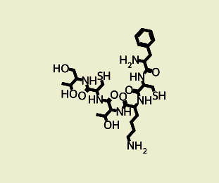 CC(O)C(CO)NC(=O)C(CS)NC(=O)C(NC(=O)C(CCCCN)NC(=O)C(CS)NC(=O)C(N)Cc1ccccc1)C(C)O